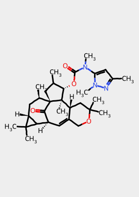 Cc1cc(N(C)C(=O)O[C@H]2C(C)C[C@]34C(=O)[C@@H](C=C5COC(C)(C)C[C@H]5[C@]23C)C2[C@@H](C[C@H]4C)C2(C)C)n(C)n1